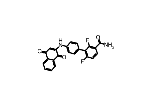 NC(=O)c1ccc(F)c(-c2ccc(NC3=CC(=O)c4ccccc4C3=O)cc2)c1F